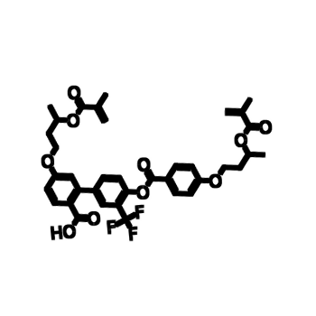 C=C(C)C(=O)OC(C)CCOc1ccc(C(=O)Oc2ccc(-c3cc(OCCC(C)OC(=O)C(=C)C)ccc3C(=O)O)cc2C(F)(F)F)cc1